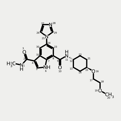 CNC(=O)c1c[nH]c2c(C(=O)N[C@H]3CC[C@H](OCCOC)CC3)cc(-n3ccnc3)cc12